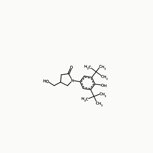 CC(C)(C)c1cc(N2CC(CO)CC2=O)cc(C(C)(C)C)c1O